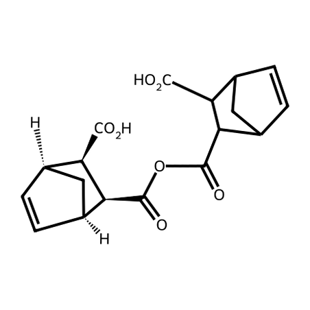 O=C(O)C1C2C=CC(C2)C1C(=O)OC(=O)[C@@H]1[C@H](C(=O)O)[C@@H]2C=C[C@H]1C2